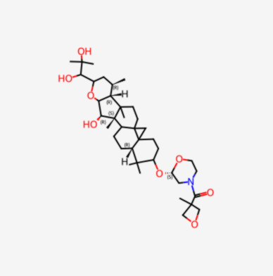 C[C@@H]1CC(C(O)C(C)(C)O)OC2[C@H]1C1(C)CCC34CC35CCC(O[C@H]3CN(C(=O)C6(C)COC6)CCO3)C(C)(C)[C@@H]5CCC4[C@]1(C)[C@H]2O